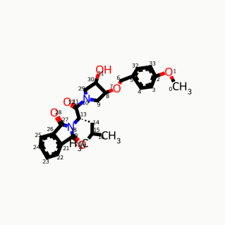 COc1ccc(COC2CN(C(=O)[C@H](CC(C)C)N3C(=O)c4ccccc4C3=O)CC2O)cc1